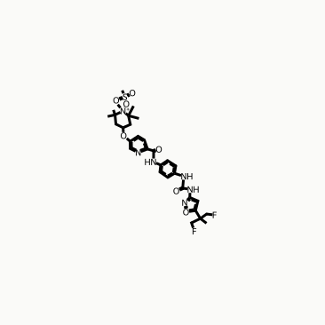 CC(CF)(CF)c1cc(NC(=O)Nc2ccc(NC(=O)c3ccc(OC4CC(C)(C)[N+](C)(OS(C)(=O)=O)C(C)(C)C4)cn3)cc2)no1